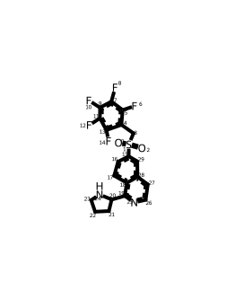 O=S(=O)(Cc1c(F)c(F)c(F)c(F)c1F)c1ccc2c(C3CCCN3)nccc2c1